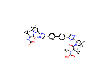 CN(C(=O)O)[C@H](C(=O)N1[C@@H]2C[C@@H]2C[C@H]1c1nc(-c2ccc(-c3ccc(-c4c[nH]c([C@@H]5C[C@H]6C[C@H]6N5C(=O)[C@H](C5CC5)N(C)C(=O)O)n4)cc3)cc2)c[nH]1)C1CC1